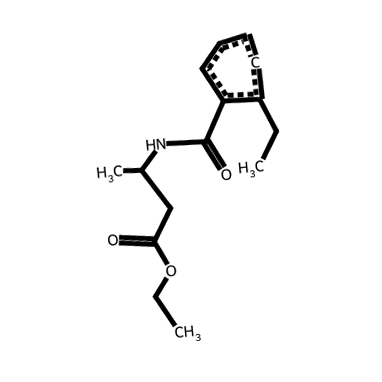 CCOC(=O)CC(C)NC(=O)c1ccccc1CC